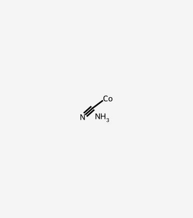 N.N#[C][Co]